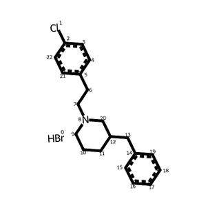 Br.Clc1ccc(CCN2CCCC(Cc3ccccc3)C2)cc1